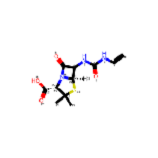 C=CNC(=O)NC1C(=O)N2[C@@H]1SC(C)(C)[C@@H]2C(=O)O